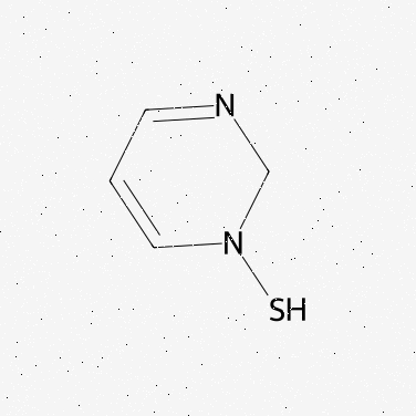 SN1C=CC=NC1